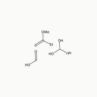 CCC(=O)OC.CCCC(O)O.O=PO